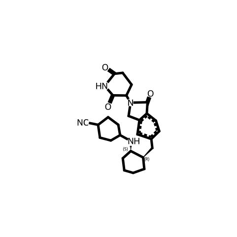 N#CC1CCC(N[C@H]2CCCC[C@@H]2Cc2ccc3c(c2)CN(C2CCC(=O)NC2=O)C3=O)CC1